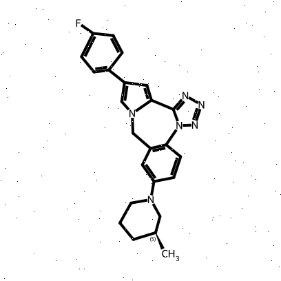 C[C@H]1CCCN(c2ccc3c(c2)Cn2cc(-c4ccc(F)cc4)cc2-c2nnnn2-3)C1